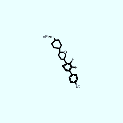 CCCCCC1CCC(C2CCC(c3ccc(-c4ccc(CC)cc4)c(F)c3F)CO2)CC1